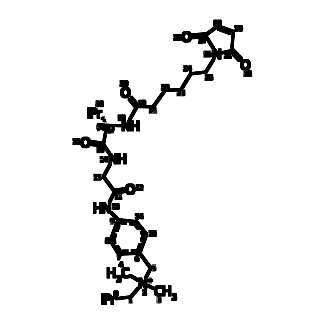 CC(C)C[N+](C)(C)Cc1ccc(NC(=O)CNC(=O)[C@@H](NC(=O)CCCCCN2C(=O)C=CC2=O)C(C)C)cc1